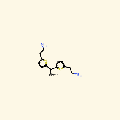 CCCCCC(c1ccc(CCN)s1)c1ccc(CCN)s1